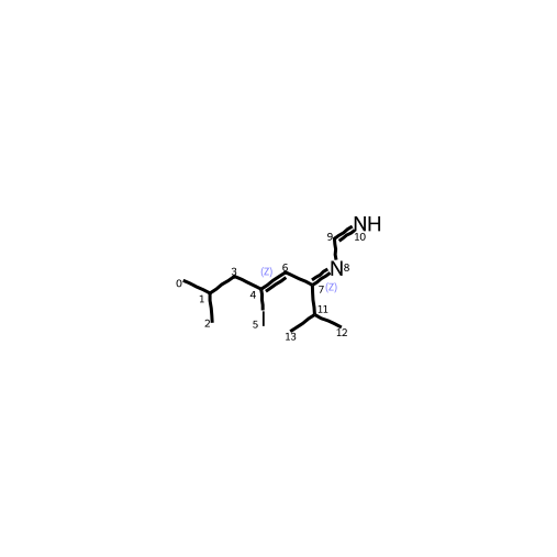 CC(C)C/C(I)=C/C(=N\C=N)C(C)C